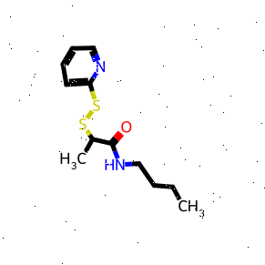 CCCCNC(=O)C(C)SSc1ccccn1